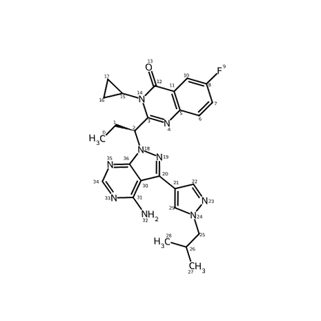 CC[C@@H](c1nc2ccc(F)cc2c(=O)n1C1CC1)n1nc(-c2cnn(CC(C)C)c2)c2c(N)ncnc21